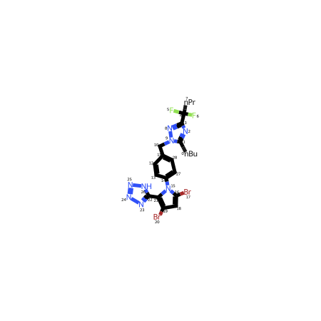 CCCCc1nc(C(F)(F)CCC)nn1Cc1ccc(-n2c(Br)cc(Br)c2-c2nnn[nH]2)cc1